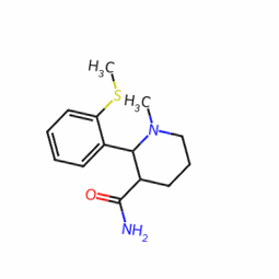 CSc1ccccc1C1C(C(N)=O)CCCN1C